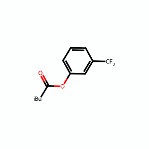 CCC(C)C(=O)Oc1cccc(C(F)(F)F)c1